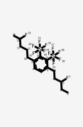 CCC(F)CCc1ccc(CCCC(C)F)c(S(F)(F)(F)(F)F)c1S(F)(F)(F)(F)F